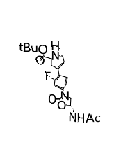 CC(=O)NC[C@H]1CN(c2ccc(C3=CCNC(C(=O)OC(C)(C)C)C3)c(F)c2)C(=O)O1